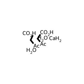 CC(=O)CC(=O)O.CC(=O)CC(=O)O.O.O.[CaH2]